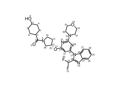 O=C(C1CCC(O)CC1)N1CC[C@H](Oc2cc(-n3c(C(F)F)nc4ccccc43)nc(N3CCOCC3)n2)C1